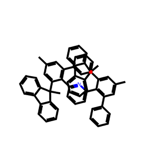 Cc1cc(-c2ccccc2)c(-c2cccc(-c3c(-c4ccccc4)cc(C)cc3C3(C)c4ccccc4-c4ccccc43)n2)c(C2(C)c3ccccc3-c3ccccc32)c1